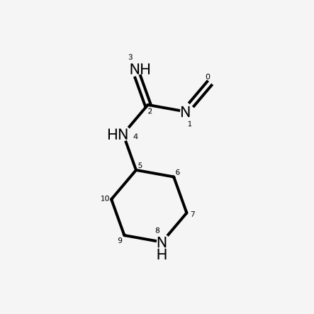 C=NC(=N)NC1CCNCC1